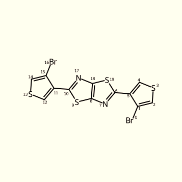 Brc1cscc1-c1nc2sc(-c3cscc3Br)nc2s1